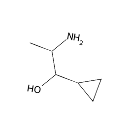 CC(N)C(O)C1CC1